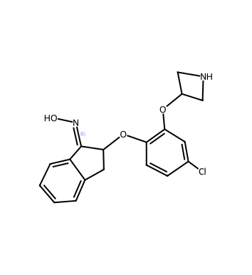 O/N=C1\c2ccccc2CC1Oc1ccc(Cl)cc1OC1CNC1